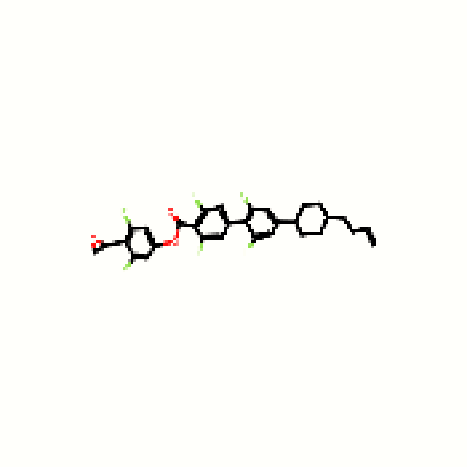 C=CCCC1CCC(c2cc(F)c(-c3cc(F)c(C(=O)Oc4cc(F)c(C5CO5)c(F)c4)c(F)c3)c(F)c2)CC1